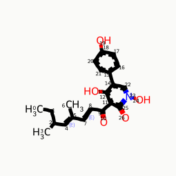 CCC(C)/C=C(C)/C=C/C(=O)c1c(O)c(-c2ccc(O)cc2)cn(O)c1=O